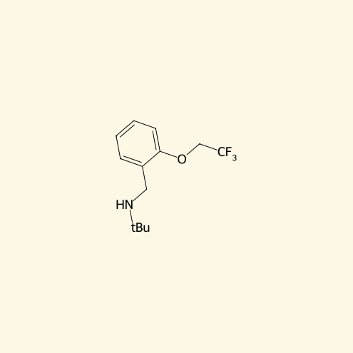 CC(C)(C)NCc1ccccc1OCC(F)(F)F